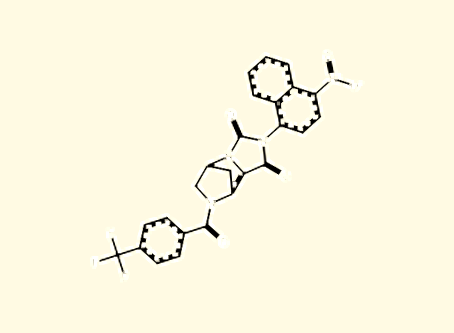 O=C(c1ccc(C(F)(F)F)cc1)N1CC2CC1=C1C(=O)N(c3ccc([N+](=O)[O-])c4ccccc34)C(=O)N12